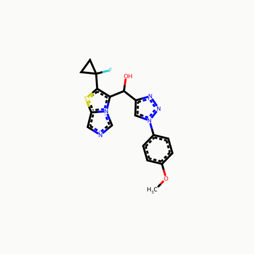 COc1ccc(-n2cc(C(O)c3c(C4(F)CC4)sc4cncn34)nn2)cc1